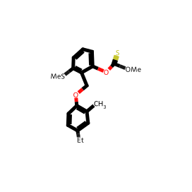 CCc1ccc(OCc2c(OC(=S)OC)cccc2SC)c(C)c1